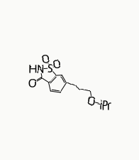 CC(C)OCCCc1ccc2c(c1)S(=O)(=O)NC2=O